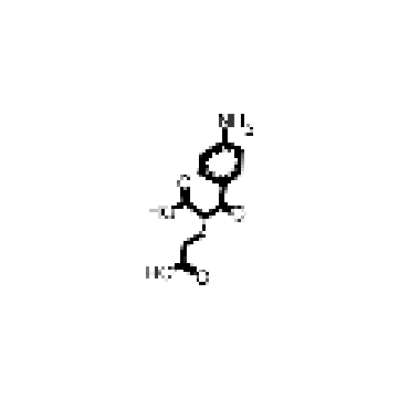 Nc1ccc(C(=O)[C@H](CCC(=O)O)C(=O)O)cc1